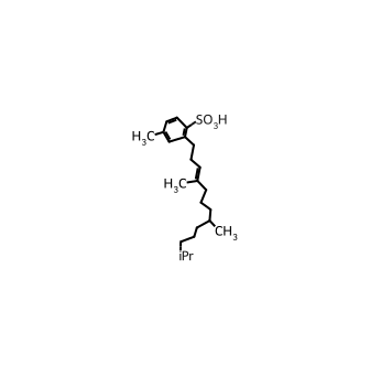 C/C(=C\CCc1cc(C)ccc1S(=O)(=O)O)CCCC(C)CCCC(C)C